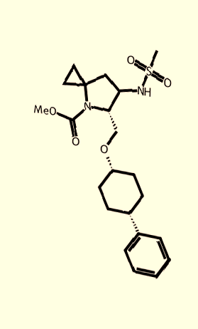 COC(=O)N1[C@@H](CO[C@H]2CC[C@@H](c3ccccc3)CC2)C(NS(C)(=O)=O)CC12CC2